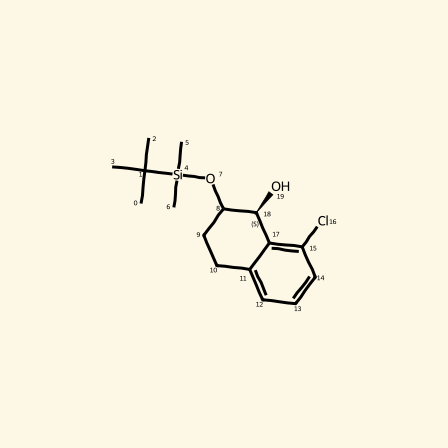 CC(C)(C)[Si](C)(C)OC1CCc2cccc(Cl)c2[C@@H]1O